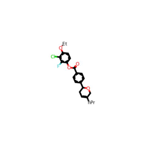 CCCC1=CCC(c2ccc(C(=O)Oc3ccc(OCC)c(Cl)c3F)cc2)OC1